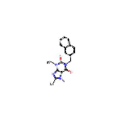 CCCn1c(=O)n(Cc2ccc3ccccc3c2)c(=O)c2c1nc(CC)n2C